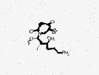 C[C@@H](C(O)CCCP)[C@H](OF)n1cc(Br)c(=O)c#cc1=O